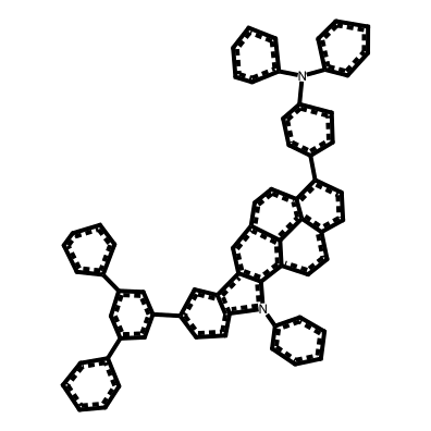 c1ccc(-c2cc(-c3ccccc3)cc(-c3ccc4c(c3)c3cc5ccc6c(-c7ccc(N(c8ccccc8)c8ccccc8)cc7)ccc7ccc(c5c76)c3n4-c3ccccc3)c2)cc1